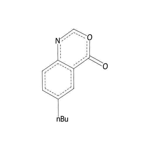 CCCCc1ccc2ncoc(=O)c2c1